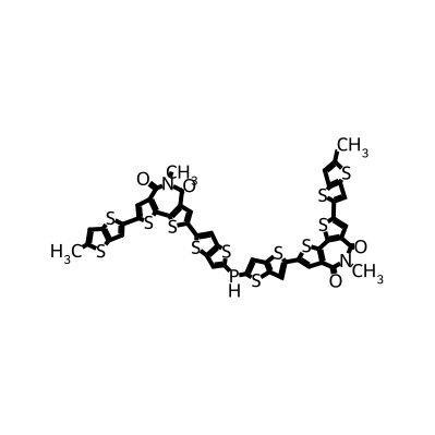 CCc1cc2sc(-c3cc4c(=O)n(C)c(=O)c5cc(-c6cc7sc(Pc8cc9sc(-c%10cc%11c(=O)n(C)c(=O)c%12cc(-c%13cc%14sc(C)cc%14s%13)sc%12c%11s%10)cc9s8)cc7s6)sc5c4s3)cc2s1